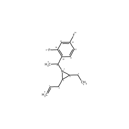 C=CCC1C(CC)N1C(C)c1ccc(F)cc1F